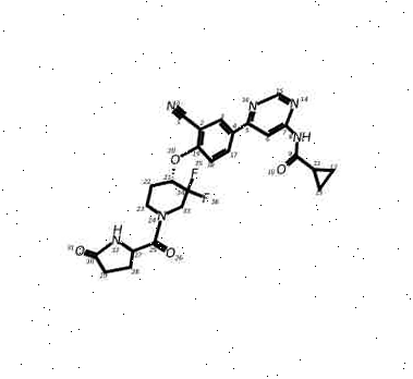 N#Cc1cc(-c2cc(NC(=O)C3CC3)ncn2)ccc1O[C@H]1CCN(C(=O)C2CCC(=O)N2)CC1(F)F